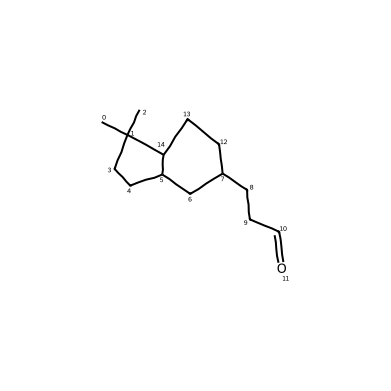 CC1(C)CCC2CC(CCC=O)CCC21